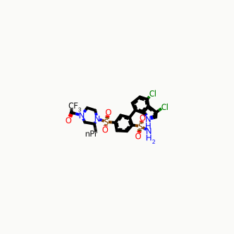 CCCC1CN(C(=O)C(F)(F)F)CCN1S(=O)(=O)c1ccc(S(N)(=O)=O)c(-c2ccc(Cl)c3c(Cl)c[nH]c23)c1